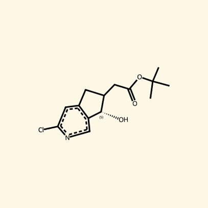 CC(C)(C)OC(=O)CC1Cc2cc(Cl)ncc2[C@H]1O